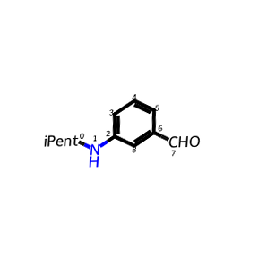 CCCC(C)Nc1cccc(C=O)c1